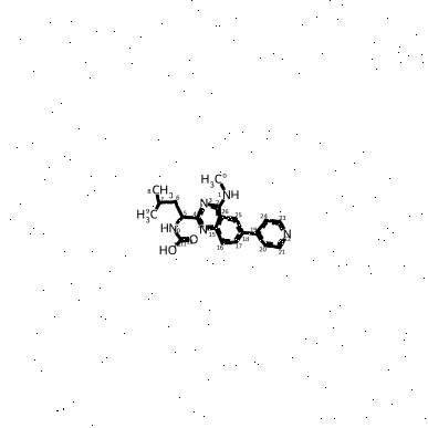 CNc1nc(C(CC(C)C)NC(=O)O)nc2ccc(-c3ccncc3)cc12